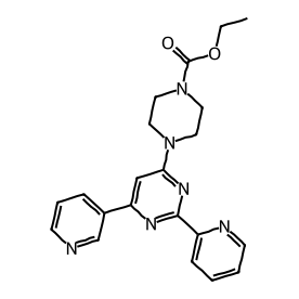 CCOC(=O)N1CCN(c2cc(-c3cccnc3)nc(-c3ccccn3)n2)CC1